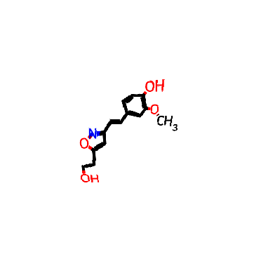 COc1cc(C=Cc2cc(CCO)on2)ccc1O